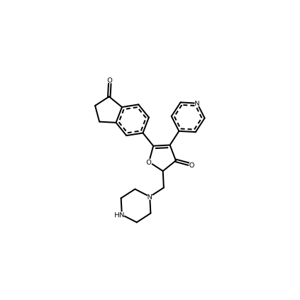 O=C1CCc2cc(C3=C(c4ccncc4)C(=O)C(CN4CCNCC4)O3)ccc21